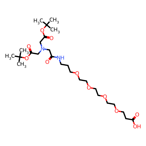 CC(C)(C)OC(=O)CN(CC(=O)NCCCOCCOCCOCCOCCC(=O)O)CC(=O)OC(C)(C)C